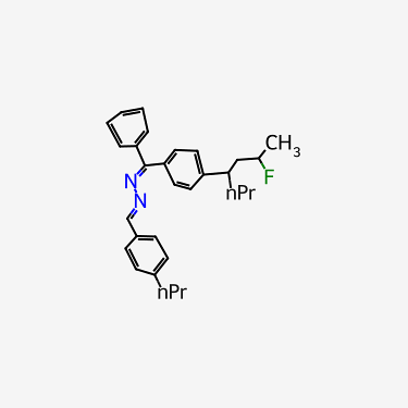 CCCc1ccc(C=NN=C(c2ccccc2)c2ccc(C(CCC)CC(C)F)cc2)cc1